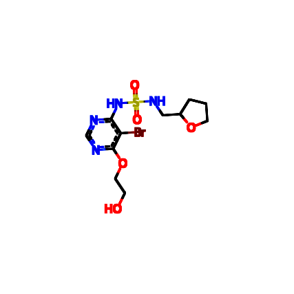 O=S(=O)(NCC1CCCO1)Nc1ncnc(OCCO)c1Br